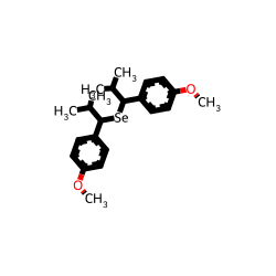 COc1ccc(C([Se]C(c2ccc(OC)cc2)C(C)C)C(C)C)cc1